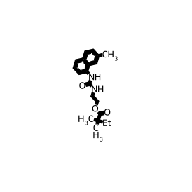 CCC(C)(C)C(=O)OCCNC(=O)Nc1cccc2ccc(C)cc12